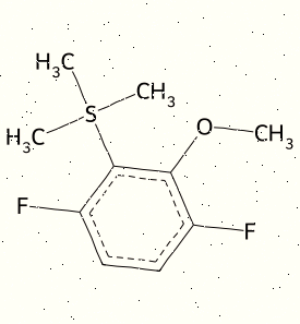 COc1c(F)ccc(F)c1S(C)(C)C